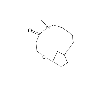 CN1CCCCC2CCC(CCCC1=O)C2